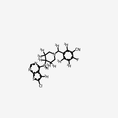 [2H]c1c([2H])c(C([2H])N2CC([2H])([2H])C([2H])(N([2H])c3ncnc4sc(Cl)c([2H])c34)C([2H])([2H])C2)c([2H])c(C#N)c1F